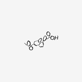 CCOC(=O)C1=Cc2cccc(OCC(=O)O)c2OCC1